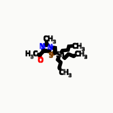 CCC[CH2][Sn]([CH2]CCC)([CH2]CCC)[c]1cn2c(C)nc(C(C)=O)c2s1